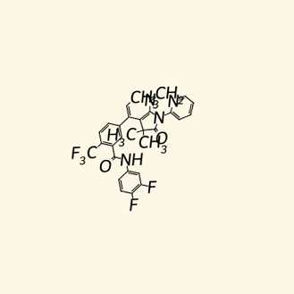 C=NC1=C(/C(=C\C)c2ccc(C(F)(F)F)c(C(=O)Nc3ccc(F)c(F)c3)c2)C(C)(C)C(=O)N1c1ccccn1